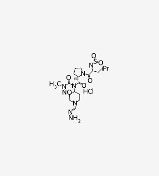 CC(C)CC(N=S(=O)=O)C(=O)N1CCC[C@H]1C(=O)N(C(=O)N(C)N=O)C1CCN(C=NN)CC1.Cl